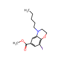 CCCCCN1CCOc2c(I)cc(C(=O)OC)cc21